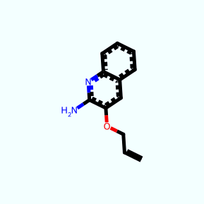 C=CCOc1cc2ccccc2nc1N